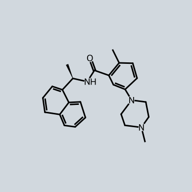 Cc1ccc(N2CCN(C)CC2)cc1C(=O)N[C@H](C)c1cccc2ccccc12